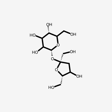 OCC1O[C@H](O[C@@]2(CO)CC(O)[C@H](CO)O2)C(O)C(O)[C@@H]1O